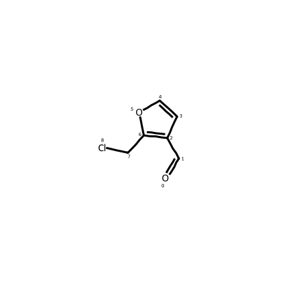 O=Cc1ccoc1CCl